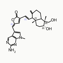 C=C1CCC2[C@](C)(CC[C@@H](O)[C@@]2(C)CO)C1/C=C/C1=CC(=C\c2cn(C)c3nc(N)ncc23)/OC1=O